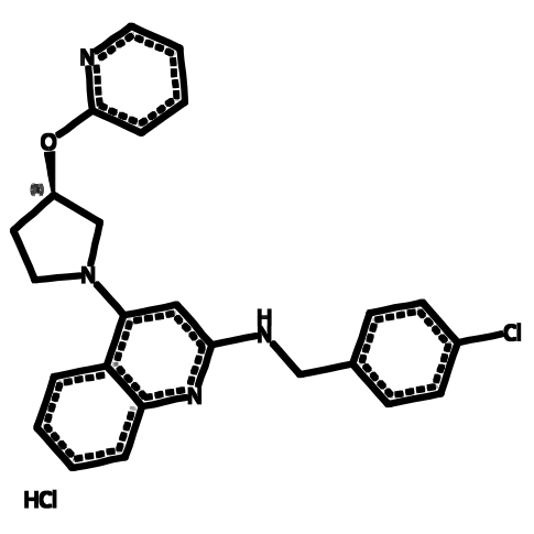 Cl.Clc1ccc(CNc2cc(N3CC[C@@H](Oc4ccccn4)C3)c3ccccc3n2)cc1